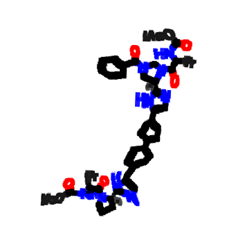 COC(=O)NC(C(=O)N1CN(C(=O)c2ccccc2)C[C@H]1c1ncc(-c2ccc(-c3ccc(-c4cnc([C@@H]5CCCN5C(=O)[C@@H](NC(=O)OC)C(C)C)[nH]4)cc3)cc2)[nH]1)C(C)C